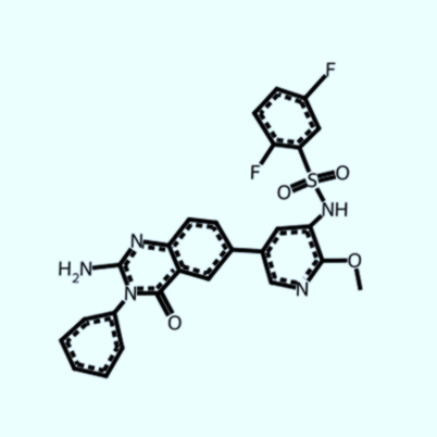 COc1ncc(-c2ccc3nc(N)n(-c4ccccc4)c(=O)c3c2)cc1NS(=O)(=O)c1cc(F)ccc1F